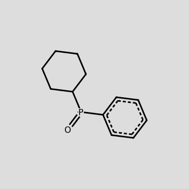 O=[P](c1ccccc1)C1CCCCC1